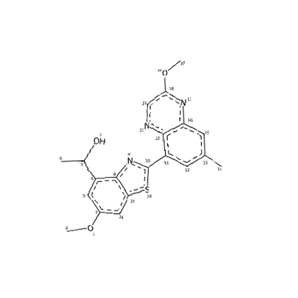 COc1cc(C(C)O)c2nc(-c3cc(C)cc4nc(OC)cnc34)sc2c1